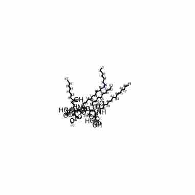 CCCCCC/C=C\CCCCCCCCCC(=O)N[C@H]1[C@H](OC[C@H]2O[C@H](OP(=O)(O)O)[C@H](NC(=O)CC(=O)CCCCCCCCCCC)[C@@H](OCCCCCCCCCC)[C@@H]2O)O[C@H](COC)[C@@H](OP(=O)(O)O)[C@@H]1OCCC(O)CCCCCCC